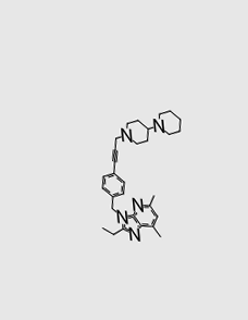 CCc1nc2c(C)cc(C)nc2n1Cc1ccc(C#CCN2CCC(N3CCCCC3)CC2)cc1